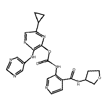 O=C(Nc1cnccc1C(=O)NC1CCOC1)Oc1nc(C2CC2)cnc1Nc1cncnc1